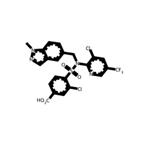 Cn1ncc2cc(CN(c3ncc(C(F)(F)F)cc3Cl)S(=O)(=O)c3ccc(C(=O)O)cc3Cl)ccc21